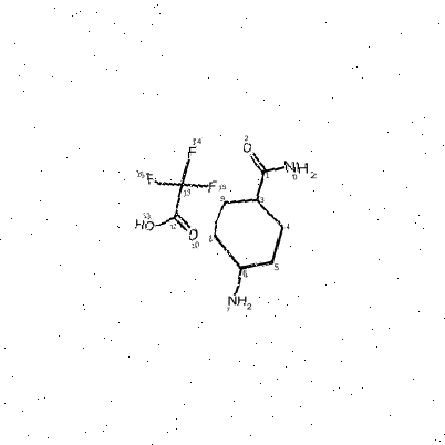 NC(=O)C1CCC(N)CC1.O=C(O)C(F)(F)F